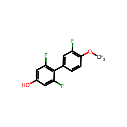 Oc1cc(F)c(-c2ccc(OC(F)(F)F)c(F)c2)c(F)c1